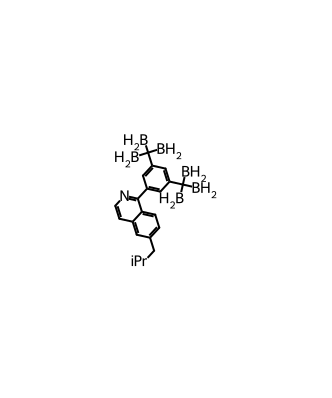 BC(B)(B)c1cc(-c2nccc3cc(CC(C)C)ccc23)cc(C(B)(B)B)c1